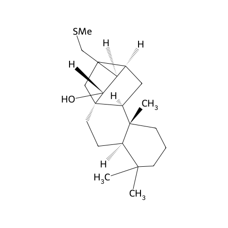 CSC[C@H]1[C@H]2CC[C@@]3(CC[C@@H]4C(C)(C)CCC[C@@]4(C)[C@@H]3C2)[C@@H]1O